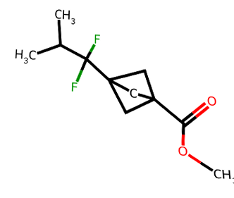 COC(=O)C12CC(C(F)(F)C(C)C)(C1)C2